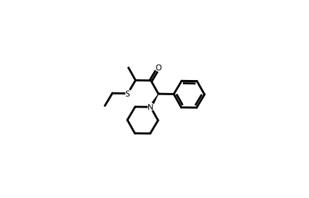 CCSC(C)C(=O)[C@@H](c1ccccc1)N1CCCCC1